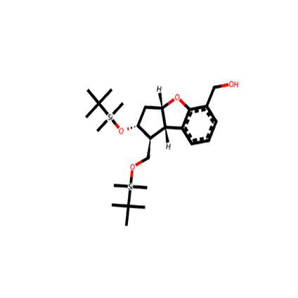 CC(C)(C)[Si](C)(C)OC[C@@H]1[C@H]2c3cccc(CO)c3O[C@H]2C[C@H]1O[Si](C)(C)C(C)(C)C